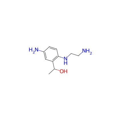 CC(O)c1cc(N)ccc1NCCN